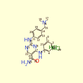 Cc1cccc(Nc2nc(Nc3ccc(CN(C)C)cc3)ncc2C(N)=O)c1.Cl.Cl